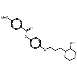 CCCC1CCCCC1CCCOc1ccc(OC(=O)c2ccc(OC)cc2)cc1